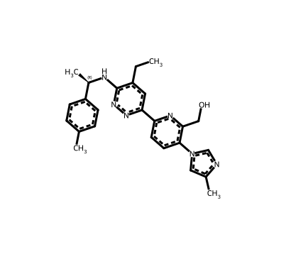 CCc1cc(-c2ccc(-n3cnc(C)c3)c(CO)n2)nnc1N[C@H](C)c1ccc(C)cc1